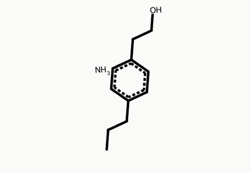 CCCc1ccc(CCO)cc1.N